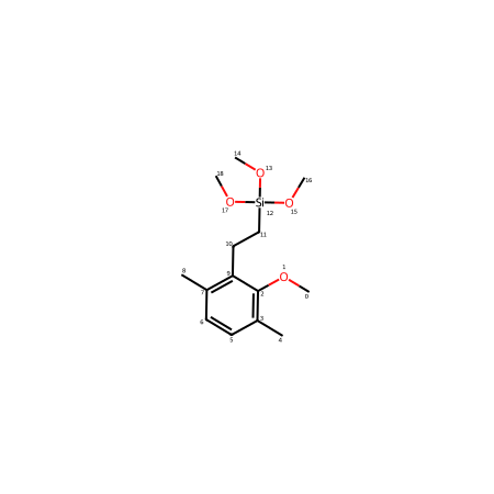 COc1c(C)ccc(C)c1CC[Si](OC)(OC)OC